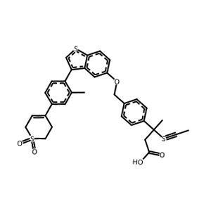 CC#SC(C)(CC(=O)O)c1ccc(COc2ccc3scc(-c4ccc(C5=CCS(=O)(=O)CC5)cc4C)c3c2)cc1